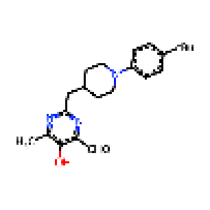 Cc1nc(CC2CCN(c3ccc(C(C)(C)C)cc3)CC2)nc([C]=O)c1O